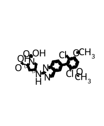 COc1cc(OC)c(Cl)c(-c2ccc3nc(N[C@H]4C[C@@H](C(=O)O)N(C(=O)O)C4)ncc3c2)c1Cl